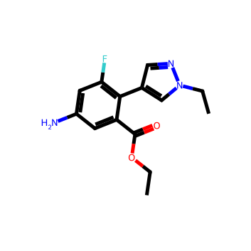 CCOC(=O)c1cc(N)cc(F)c1-c1cnn(CC)c1